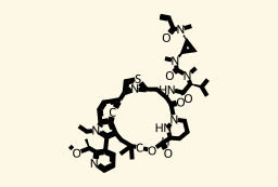 C=CC(=O)N(C)[C@@H]1C[C@H]1N(C)C(=O)N(C)[C@H](C(=O)N[C@H]1Cc2nc(cs2)-c2ccc3c(c2)c(c(-c2cccnc2[C@H](C)OC)n3CC)CC(C)(C)COC(=O)[C@@H]2CCCN(N2)C1=O)C(C)C